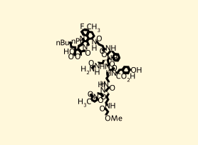 CCCCC(CCC)CC[C@@]1(O)C(=O)OCc2c1cc1n(c2=O)Cc2c-1nc1cc(F)c(C)c3c1c2[C@@H](NC(=O)CCC(=O)N[C@@H](Cc1ccccc1)C(=O)N[C@@H](CCCNC(N)=O)C(=O)N[C@@H](CCCCNC(=O)[C@H](CCCCNC(=O)CCOC)NC(=O)CN1C(=O)CC(C)C1=O)C(=O)N[C@@H](Cc1ccc(O)cc1)C(=O)O)CC3